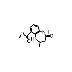 COC(=O)c1cccc2c1NC(C)CC(=O)N2